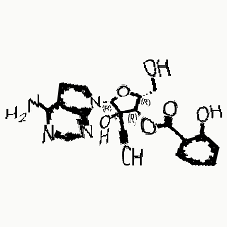 C#C[C@@]1(O)[C@H](OC(=O)c2ccccc2O)[C@@H](CO)O[C@H]1n1ccc2c(N)ncnc21